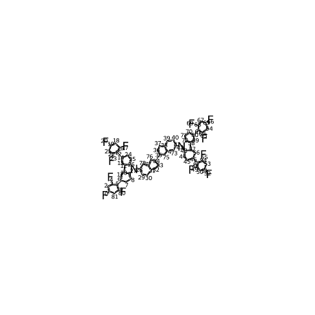 Fc1cc(F)c(-c2ccc3c(c2)c2cc(-c4c(F)cc(F)cc4F)ccc2n3-c2ccc3ccc(-c4ccc5ccc(-n6c7ccc(-c8c(F)cc(F)cc8F)cc7c7cc(-c8c(F)cc(F)cc8F)ccc76)cc5c4)cc3c2)c(F)c1